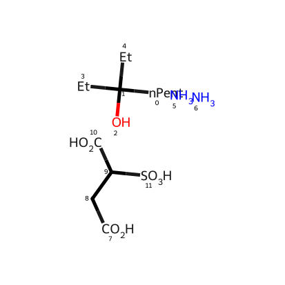 CCCCCC(O)(CC)CC.N.N.O=C(O)CC(C(=O)O)S(=O)(=O)O